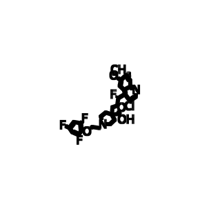 COc1ccc2ncc(Cl)c([C@@H](F)CCC3(C(=O)O)CCN(CCOc4c(F)cc(F)cc4F)CC3)c2c1